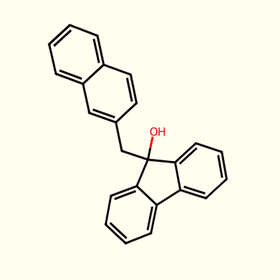 OC1(Cc2ccc3ccccc3c2)c2ccccc2-c2ccccc21